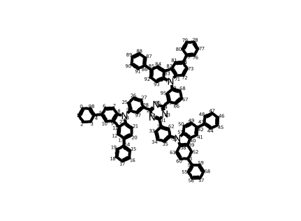 C1=CCCC(c2ccc3c(c2)c2cc(-c4ccccc4)ccc2n3-c2cccc(-c3nc(-c4cccc(-n5c6c(c7cc(-c8ccccc8)ccc75)CC(c5ccccc5)C=C6)c4)nc(-c4cccc(-n5c6ccc(-c7ccccc7)cc6c6cc(-c7ccccc7)ccc65)c4)n3)c2)=C1